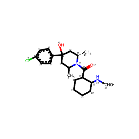 CC1CC(O)(c2ccc(Cl)cc2)C[C@H](C)N1C(=O)C1CCCCC1N[C]=O